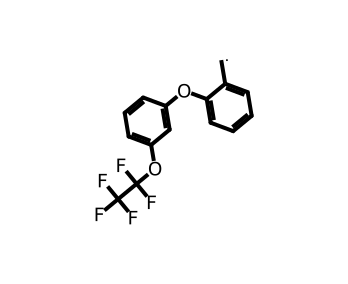 [CH2]c1ccccc1Oc1cccc(OC(F)(F)C(F)(F)F)c1